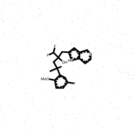 COc1ccc(F)cc1C(C)(C)CC(O)(Cc1cc2cnccc2[nH]1)C(F)F